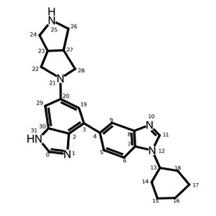 c1nc2c(-c3ccc4c(c3)ncn4C3CCCCC3)cc(N3CC4CNCC4C3)cc2[nH]1